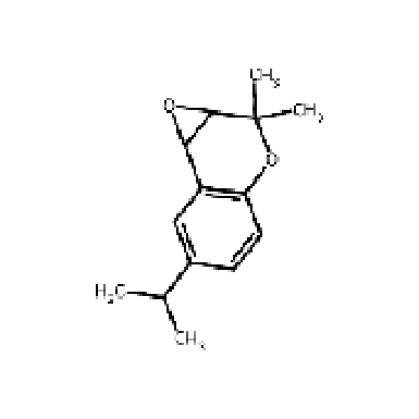 CC(C)c1ccc2c(c1)C1OC1C(C)(C)O2